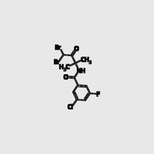 CC(C)(NC(=O)c1cc(F)cc(Cl)c1)C(=O)C(Br)Br